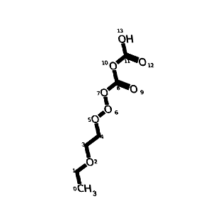 CCOCCOOOC(=O)OC(=O)O